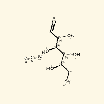 O=C[C@H](O)[C@H](O)[C@H](O)[C@H](O)CO.[Cu].[Cu].[Ni]